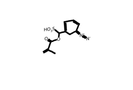 C=C(C)C(=O)OC(C1=CC=CC(=[N+]=[N-])C1)S(=O)(=O)O